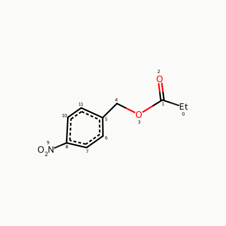 [CH2]CC(=O)OCc1ccc([N+](=O)[O-])cc1